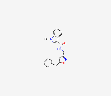 CC(C)n1cc(C(=O)NCC2=NOC(Cc3ccccc3)C2)c2ccccc21